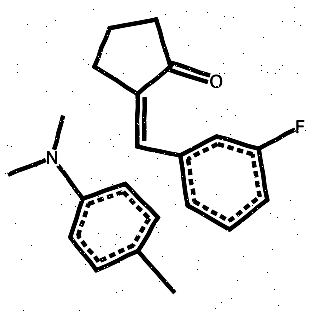 Cc1ccc(N(C)C)cc1.O=C1CCCC1=Cc1cccc(F)c1